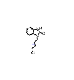 O=c1[nH]c2ccccc2n1C/C=C/CCl